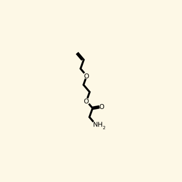 C=CCOCCOC(=O)CN